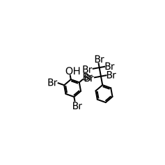 BrC(Br)(Br)C(Br)(Br)c1ccccc1.Oc1c(Br)cc(Br)cc1Br